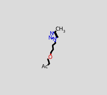 CC(=O)CCOCCCCn1cc(C)nn1